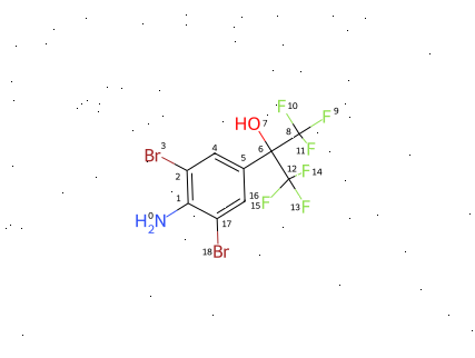 Nc1c(Br)cc(C(O)(C(F)(F)F)C(F)(F)F)cc1Br